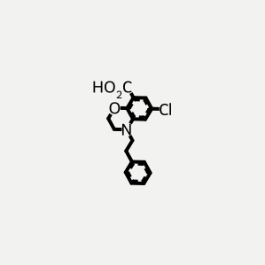 O=C(O)c1cc(Cl)cc2c1OCCN2CCc1ccccc1